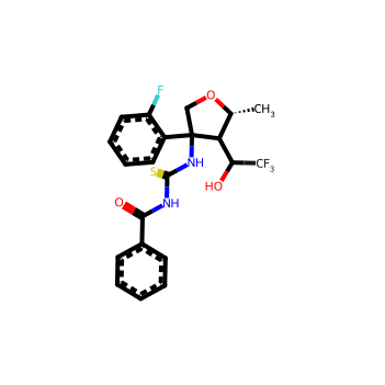 C[C@H]1OCC(NC(=S)NC(=O)c2ccccc2)(c2ccccc2F)C1C(O)C(F)(F)F